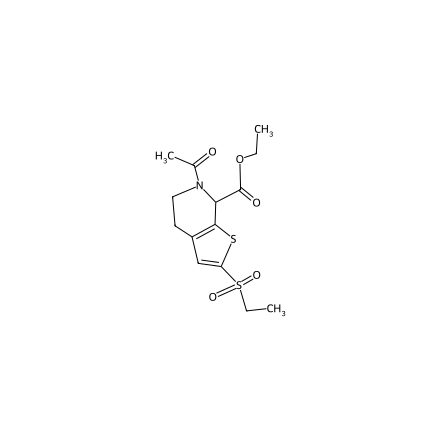 CCOC(=O)C1c2sc(S(=O)(=O)CC)cc2CCN1C(C)=O